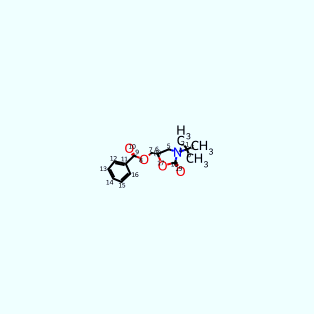 CC(C)(C)N1C[C@H](COC(=O)c2ccccc2)OC1=O